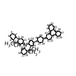 CC1(C)c2ccccc2-c2ccc(N3c4ccccc4C(C)(C)c4cc(-c5ccc(-c6ccc7c8ccccc8c8ccccc8c7c6)cc5)ccc43)cc21